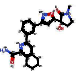 CN1CC[C@@](O)(c2cc(-c3cccc(-c4cc5c(c(C(N)=O)n4)CCCC5)c3)no2)C1=O